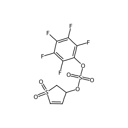 O=S1(=O)C=CC(OS(=O)(=O)Oc2c(F)c(F)c(F)c(F)c2F)C1